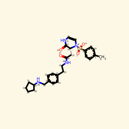 Cc1ccc(S(=O)(=O)N2C=CNC(=O)[C@H]2CC(=O)NCCc2ccc(CNC3CCCC3)cc2)cc1